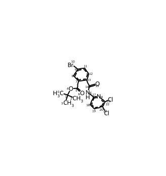 CC(C)(C)OC(=O)c1cc(Br)ccc1C(=O)Nc1ccc(Cl)c(Cl)n1